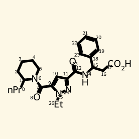 CCCC1CCCCN1C(=O)c1cc(C(=O)NC(CC(=O)O)c2ccccc2)nn1CC